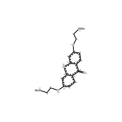 CNCCOc1ccc2c(=O)c3ccc(OCCNC)cc3oc2c1